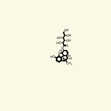 CN1CC[C@]23c4c5ccc(O)c4O[C@H]2[C@@H](OC(=O)[C@H](O)[C@@H](O)[C@H](O)[C@H](O)CO)C=C[C@H]3[C@H]1C5